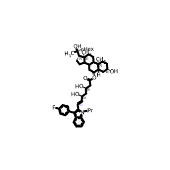 CCCCCC[C@](C)(O)[C@H]1CCC2C3C[C@H](OC(=O)C[C@H](O)C[C@H](O)/C=C/c4c(-c5ccc(F)cc5)c5ccccc5n4C(C)C)[C@H]4C[C@@H](O)CC[C@]4(C)C3CC[C@@]21C